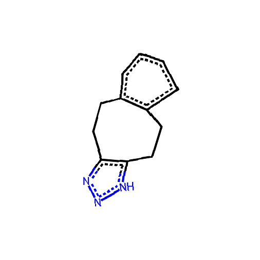 c1ccc2c(c1)CCc1nn[nH]c1CC2